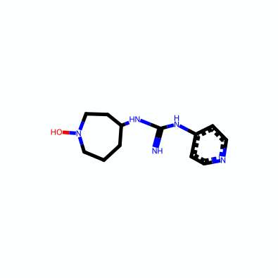 N=C(Nc1ccncc1)NC1CCCN(O)CC1